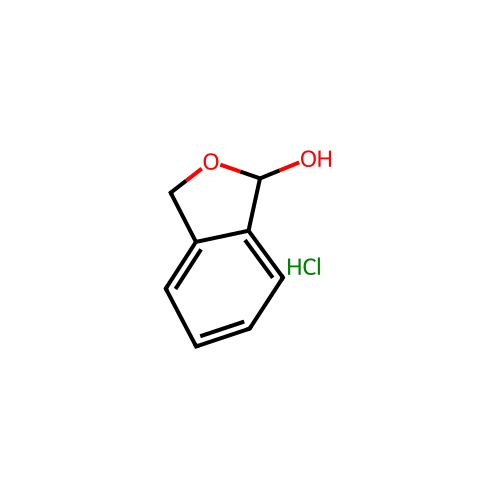 Cl.OC1OCc2ccccc21